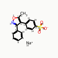 Cc1onc(-c2ccccc2)c1-c1ccc(S(=O)(=O)[O-])cc1.[Na+]